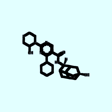 O=C(N[C@H]1C2CC3CC1C[C@@](O)(C3)C2)c1cnc(N2CCSCC2O)nc1C1CCCCC1